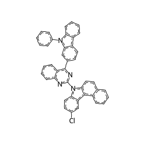 Clc1ccc2c(c1)c1c3ccccc3ccc1n2-c1nc(-c2ccc3c4ccccc4n(-c4ccccc4)c3c2)c2ccccc2n1